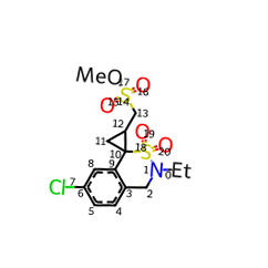 CCN1Cc2ccc(Cl)cc2C2(CC2CS(=O)(=O)OC)S1(=O)=O